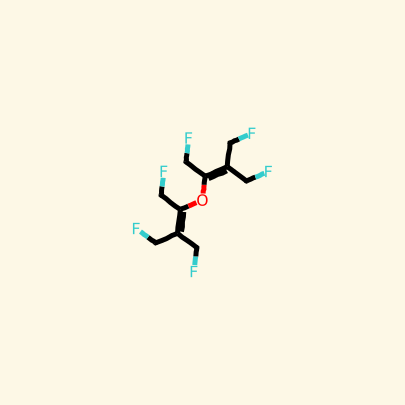 FCC(CF)=C(CF)OC(CF)=C(CF)CF